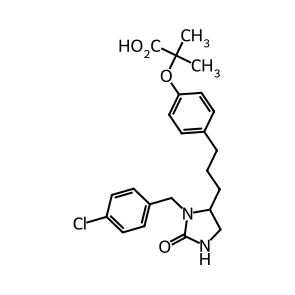 CC(C)(Oc1ccc(CCCC2CNC(=O)N2Cc2ccc(Cl)cc2)cc1)C(=O)O